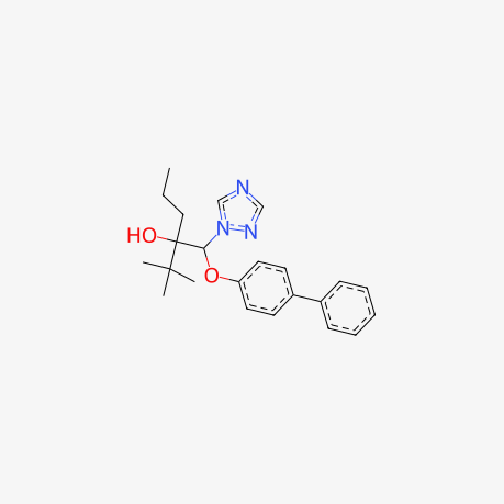 CCCC(O)(C(Oc1ccc(-c2ccccc2)cc1)n1cncn1)C(C)(C)C